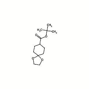 CC(C)(C)OC(=O)C1CCC2(CC1)OCCO2